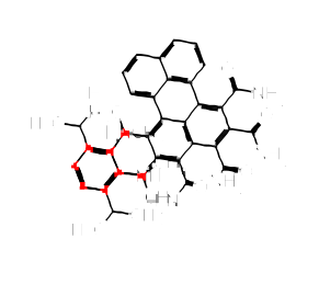 CC(C)c1cccc(C(C)C)c1Nc1c(C(N)=O)c2c(C(N)=O)c(C(N)=O)c(C(N)=O)c3c4cccc5cccc(c(c1Nc1c(C(C)C)cccc1C(C)C)c23)c54